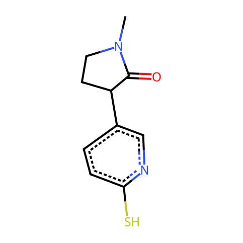 CN1CCC(c2ccc(S)nc2)C1=O